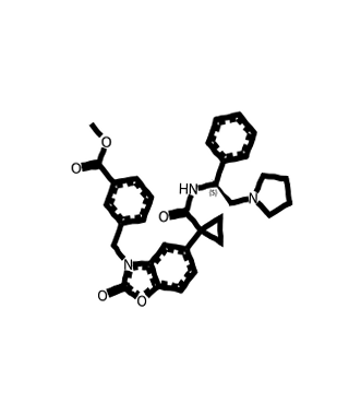 COC(=O)c1cccc(Cn2c(=O)oc3ccc(C4(C(=O)N[C@H](CN5CCCC5)c5ccccc5)CC4)cc32)c1